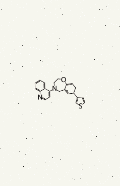 C1=C2CN(c3ccnc4ccccc34)CCOC2=CCC1c1ccsc1